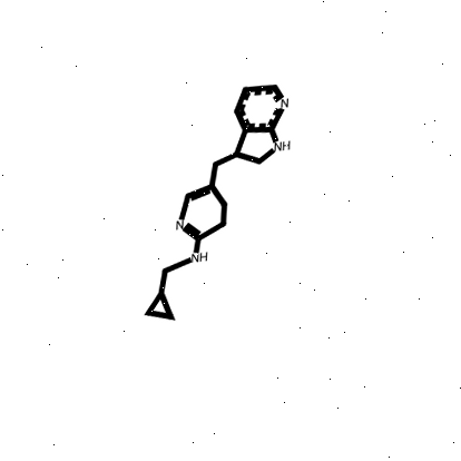 C1=C(CC2CNc3ncccc32)CCC(NCC2CC2)=N1